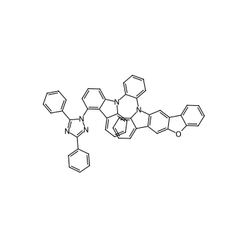 c1ccc(-c2nc(-c3ccccc3)n(-c3cccc4c3c3ccccc3n4-c3ccccc3-n3c4ccccc4c4cc5oc6ccccc6c5cc43)n2)cc1